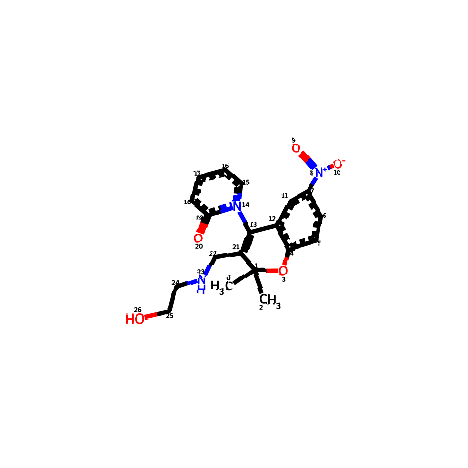 CC1(C)Oc2ccc([N+](=O)[O-])cc2C(n2ccccc2=O)=C1CNCCO